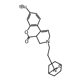 CC(C)(C)c1ccc2c(c1)OC(=O)C1CN(CCN3CC4CCC(CC4)C3)CC=C21